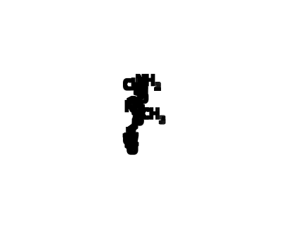 Cc1cc2c(Oc3ccc(N)c(Cl)c3)ccnc2cc1OCCCN1CCC2(CC1)COC2